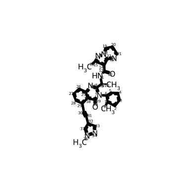 Cc1ccccc1-n1c([C@H](C)NC(=O)c2c(C)nn3cccnc23)nc2cccc(C#Cc3cnn(C)c3)c2c1=O